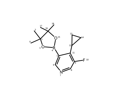 CC1(C)OB(c2cncc(F)c2C2CC2)OC1(C)C